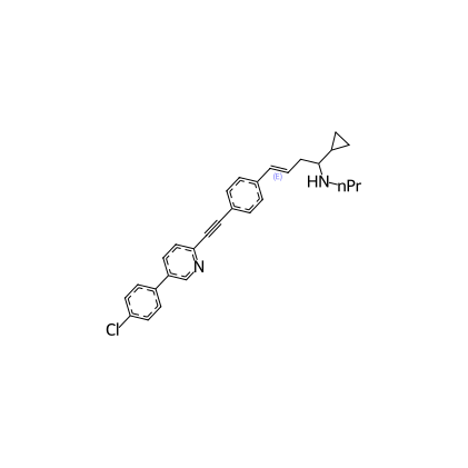 CCCNC(C/C=C/c1ccc(C#Cc2ccc(-c3ccc(Cl)cc3)cn2)cc1)C1CC1